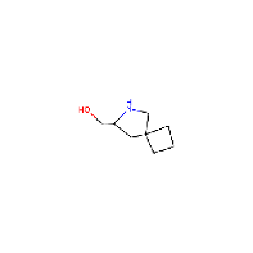 OCC1CC2(CCC2)CN1